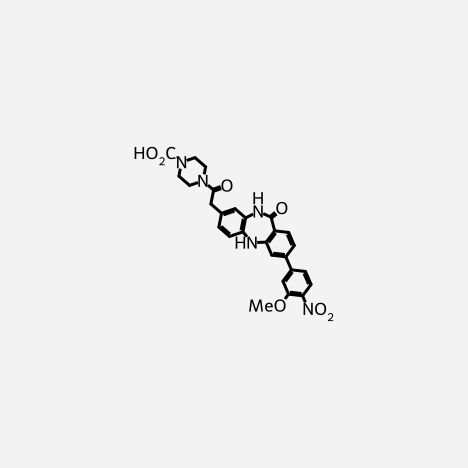 COc1cc(-c2ccc3c(c2)Nc2ccc(CC(=O)N4CCN(C(=O)O)CC4)cc2NC3=O)ccc1[N+](=O)[O-]